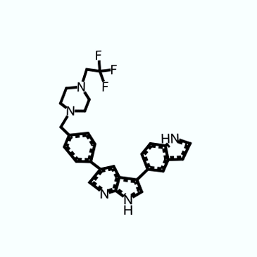 FC(F)(F)CN1CCN(Cc2ccc(-c3cnc4[nH]cc(-c5ccc6[nH]ccc6c5)c4c3)cc2)CC1